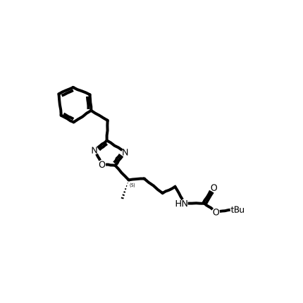 C[C@@H](CCCNC(=O)OC(C)(C)C)c1nc(Cc2ccccc2)no1